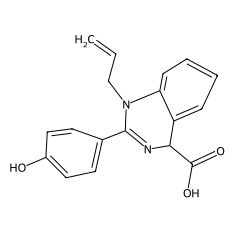 C=CCN1C(c2ccc(O)cc2)=NC(C(=O)O)c2ccccc21